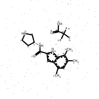 Cc1cc(C)c2cc(C(=O)N[C@@H]3CCNC3)[nH]c2c1C.O=C(O)C(F)(F)F